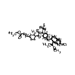 COC(=O)NCC1CCC(C(=O)N(C)[C@@H](c2ccc(Nc3cnc4nc(Cl)nn4c3[C@H](C)OC)cc2)C(F)(F)F)CC1